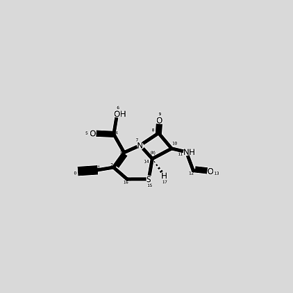 C#CC1=C(C(=O)O)N2C(=O)C(NC=O)[C@H]2SC1